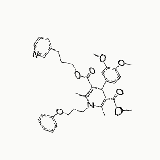 COC(=O)C1=C(C)N(CCCOc2ccccc2)C(C)=C(C(=O)OCCCc2cccnc2)C1c1ccc(OC)c(OC)c1